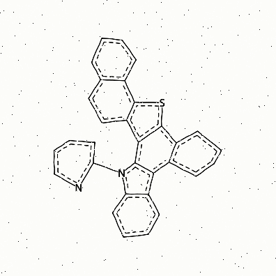 c1ccc(-n2c3ccccc3c3c4ccccc4c4sc5c6ccccc6ccc5c4c32)nc1